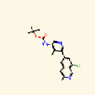 Cc1cc2cc(-c3cncc(NC(=O)OC(C)(C)C)c3C)cc(Cl)c2cn1